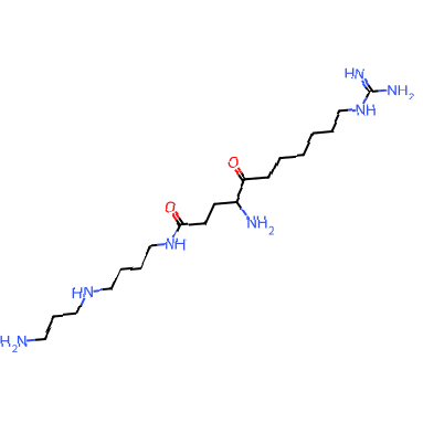 N=C(N)NCCCCCCC(=O)C(N)CCC(=O)NCCCCNCCCN